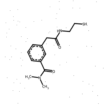 CN(C)C(=O)c1cccc(CC(=O)NCCS)c1